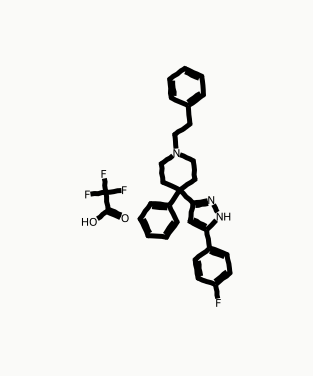 Fc1ccc(-c2cc(C3(c4ccccc4)CCN(CCc4ccccc4)CC3)n[nH]2)cc1.O=C(O)C(F)(F)F